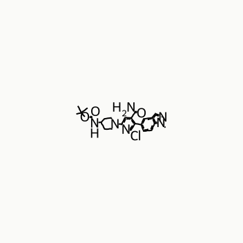 Cn1ncc2cc(-c3c(C(N)=O)cc(N4CCC(NC(=O)OC(C)(C)C)CC4)nc3Cl)ccc21